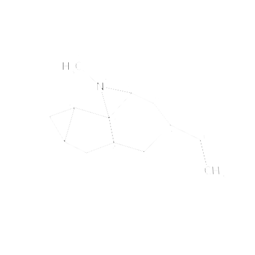 CCC1CC2CC3CC3C23C(C1)N3C